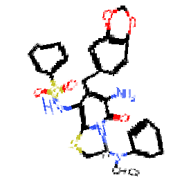 Nc1c(Cc2ccc3c(c2)OCO3)c(NS(=O)(=O)c2ccccc2)c2n(c1=O)[C@@H](N(C=O)c1ccccc1)CS2